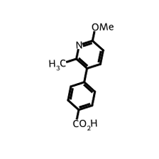 COc1ccc(-c2ccc(C(=O)O)cc2)c(C)n1